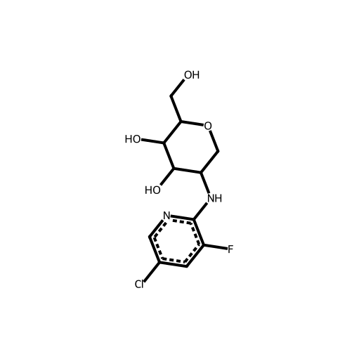 OCC1OCC(Nc2ncc(Cl)cc2F)C(O)C1O